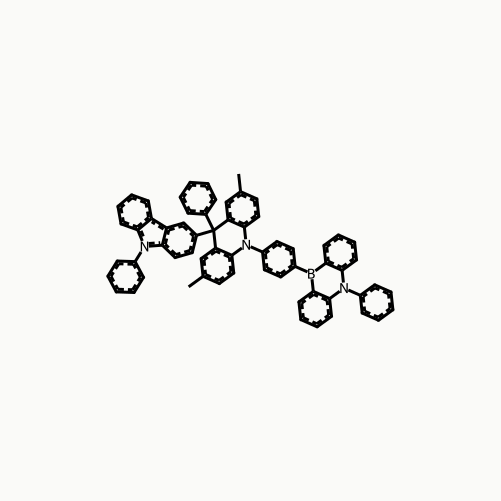 Cc1ccc2c(c1)C(c1ccccc1)(c1ccc3c(c1)c1ccccc1n3-c1ccccc1)c1cc(C)ccc1N2c1ccc(B2c3ccccc3N(c3ccccc3)c3ccccc32)cc1